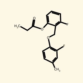 CCC(=O)Oc1cccc(F)c1COc1ccc(C)cc1F